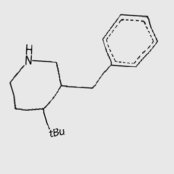 CC(C)(C)C1CCNCC1Cc1ccccc1